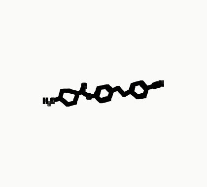 CC1CCC(C(=O)Oc2ccc(CCc3ccc(C#N)cc3)cc2)CC1